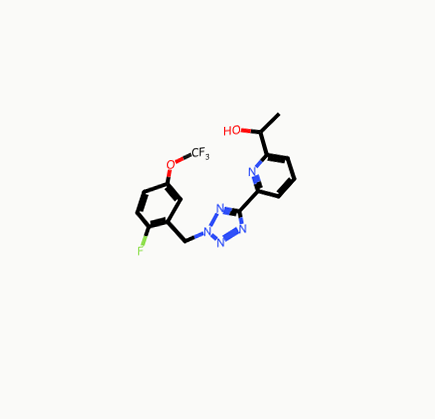 CC(O)c1cccc(-c2nnn(Cc3cc(OC(F)(F)F)ccc3F)n2)n1